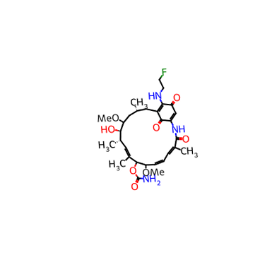 COC1/C=C\C=C(/C)C(=O)NC2=CC(=O)C(NCCF)=C(C[C@@H](C)CC(OC)[C@H](O)[C@@H](C)/C=C(\C)C1OC(N)=O)C2=O